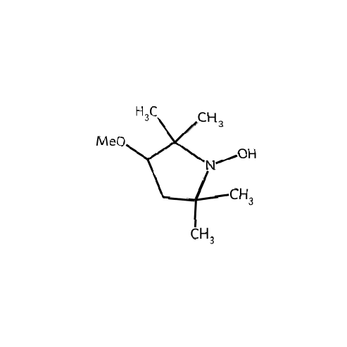 COC1CC(C)(C)N(O)C1(C)C